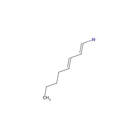 CCCCC=CC=C[N]